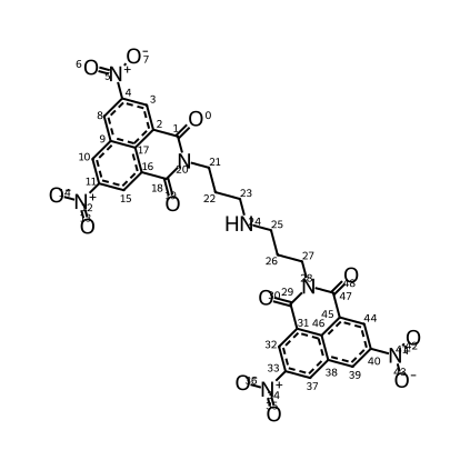 O=C1c2cc([N+](=O)[O-])cc3cc([N+](=O)[O-])cc(c23)C(=O)N1CCCNCCCN1C(=O)c2cc([N+](=O)[O-])cc3cc([N+](=O)[O-])cc(c23)C1=O